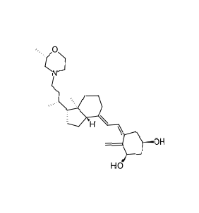 C=C1/C(=C\C=C2/CCC[C@]3(C)[C@@H]([C@H](C)CCN4CCO[C@@H](C)C4)CC[C@@H]23)C[C@@H](O)C[C@H]1O